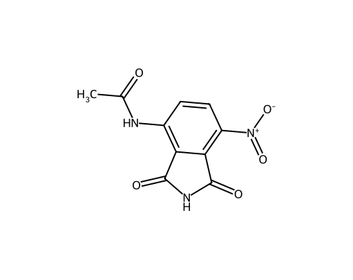 CC(=O)Nc1ccc([N+](=O)[O-])c2c1C(=O)NC2=O